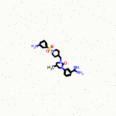 CC1CN(CC2CCN(S(=O)(=O)c3cccc(N)c3)CC2)C(=O)N(c2cccc(C(=N)N)c2)C1